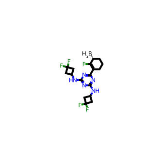 B[C@@H]1CCCC(c2nc(NC3CC(F)(F)C3)nc(NC3CC(F)(F)C3)n2)=C1F